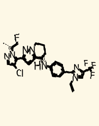 CCn1cc(C(F)(F)F)nc1-c1ccc(N[C@@H]2CCCn3nc(-c4c(Cl)cnn4[C@H](C)CF)cc32)cc1